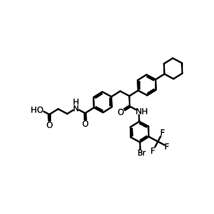 O=C(O)CCNC(=O)c1ccc(CC(C(=O)Nc2ccc(Br)c(C(F)(F)F)c2)c2ccc(C3CCCCC3)cc2)cc1